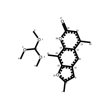 COC(OC)OC.Cc1cc2cc3c(C)cc(=O)oc3c(C)c2o1